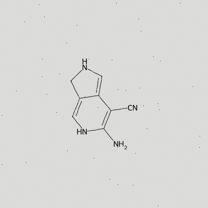 N#CC1=C(N)NC=C2CNC=C21